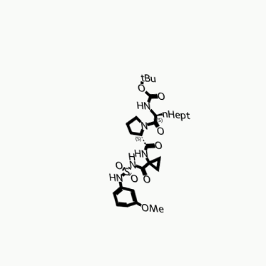 CCCCCCC[C@H](NC(=O)OC(C)(C)C)C(=O)N1CCC[C@H]1C(=O)NC1(C(=O)NS(=O)(=O)Nc2cccc(OC)c2)CC1